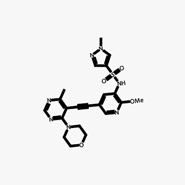 COc1ncc(C#Cc2c(C)ncnc2N2CCOCC2)cc1NS(=O)(=O)c1cnn(C)c1